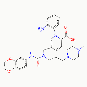 CN1CCN(CCCN(CC2=CN(c3ccccc3N)C(C(=O)O)C=C2)C(=O)Nc2ccc3c(c2)OCCO3)CC1